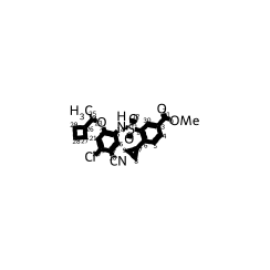 COC(=O)c1ccc(C2CC2)c(S(=O)(=O)Nc2cc(C#N)c(Cl)cc2O[C@@H](C)C2CCC2)c1